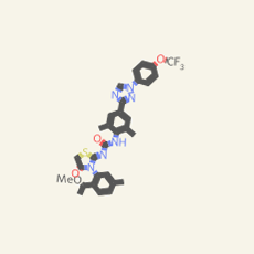 COC(C)c1ccc(C)cc1N1C(=O)CSC1=NC(=O)Nc1c(C)cc(-c2ncn(-c3ccc(OC(F)(F)F)cc3)n2)cc1C